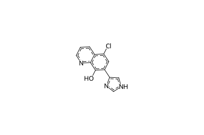 Oc1c(-c2c[nH]cn2)cc(Cl)c2cccnc12